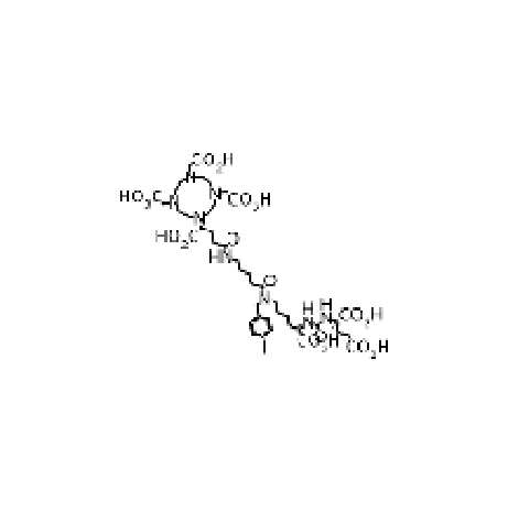 O=C(O)CC[C@H](NC(=O)N[C@@H](CCCCN(Cc1ccc(I)cc1)C(=O)CCCCNC(=O)CCC(C(=O)O)N1CCN(CC(=O)O)CCN(CC(=O)O)CCN(CC(=O)O)CC1)C(=O)O)C(=O)O